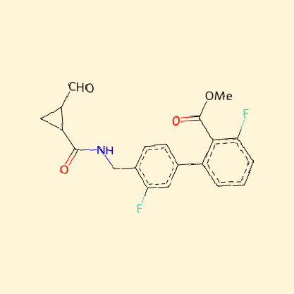 COC(=O)c1c(F)cccc1-c1ccc(CNC(=O)C2CC2C=O)c(F)c1